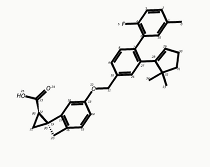 Cc1ccc(F)c(-c2ccc(COc3ccc4c(c3)[C@@]3(C4)C[C@H]3C(=O)O)cc2C2=CCCC2(C)C)c1